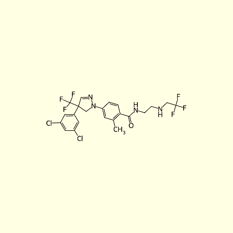 Cc1cc(N2CC(c3cc(Cl)cc(Cl)c3)(C(F)(F)F)C=N2)ccc1C(=O)NCCNCC(F)(F)F